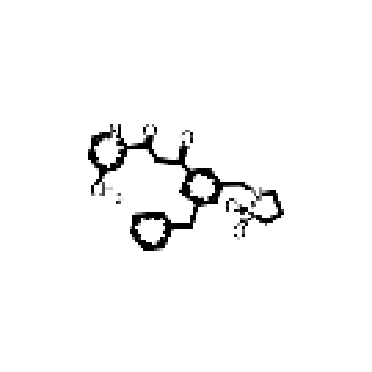 Cc1ccnc(C(=O)CC(=O)c2cc(Cc3ccccc3)cc(CN3CCCS3(=O)=O)c2)c1